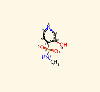 CNS(=O)(=O)c1ccncc1O